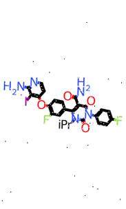 CC(C)n1c(-c2ccc(Oc3ccnc(N)c3I)c(F)c2)c(C(N)=O)c(=O)n(-c2ccc(F)cc2)c1=O